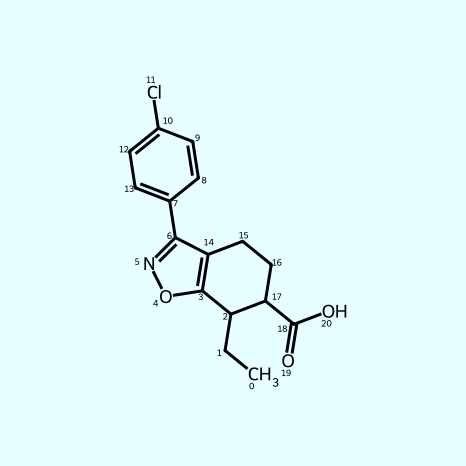 CCC1c2onc(-c3ccc(Cl)cc3)c2CCC1C(=O)O